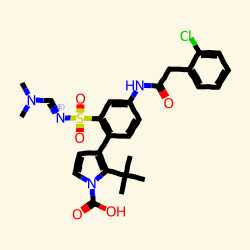 CN(C)/C=N/S(=O)(=O)c1cc(NC(=O)Cc2ccccc2Cl)ccc1-c1ccn(C(=O)O)c1C(C)(C)C